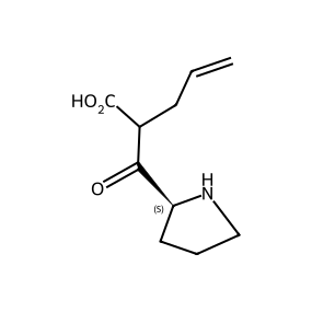 C=CCC(C(=O)O)C(=O)[C@@H]1CCCN1